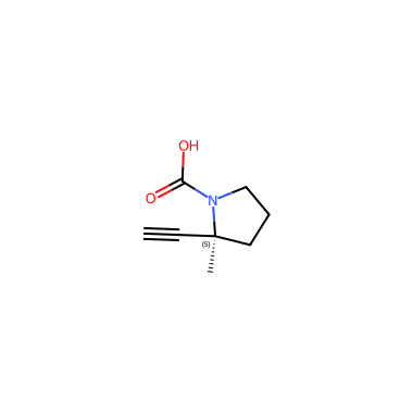 C#C[C@]1(C)CCCN1C(=O)O